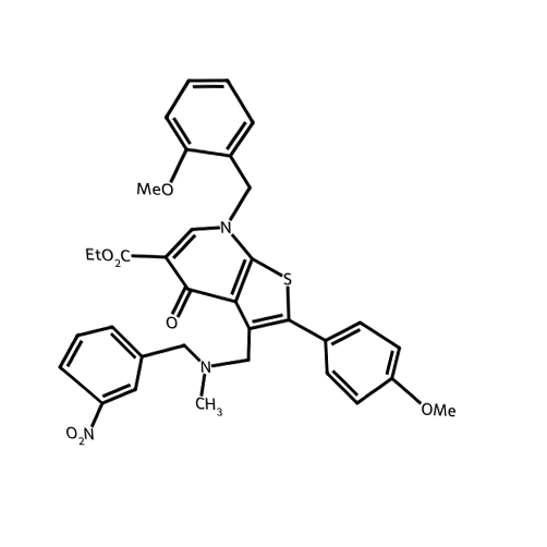 CCOC(=O)c1cn(Cc2ccccc2OC)c2sc(-c3ccc(OC)cc3)c(CN(C)Cc3cccc([N+](=O)[O-])c3)c2c1=O